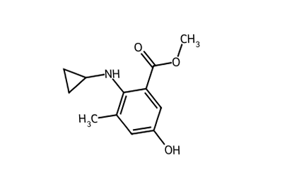 COC(=O)c1cc(O)cc(C)c1NC1CC1